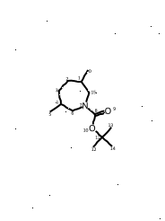 CC1CCC(C)CN(C(=O)OC(C)(C)C)C1